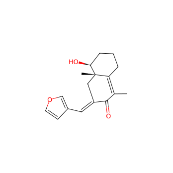 CC1=C2CCC[C@H](O)[C@@]2(C)CC(=Cc2ccoc2)C1=O